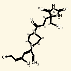 C=C/C(=C\C(Cl)=C/CCl)N1CCN(C(=O)CCC2(CN)NC(=O)NC2=O)CC1